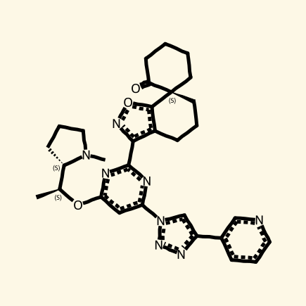 C[C@H](Oc1cc(-n2cc(-c3cccnc3)nn2)nc(-c2noc3c2CCC[C@@]32CCCCC2=O)n1)[C@@H]1CCCN1C